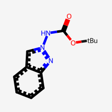 CC(C)(C)OC(=O)Nn1cc2ccccc2n1